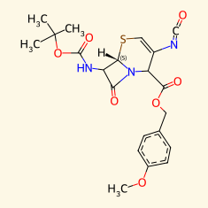 COc1ccc(COC(=O)C2C(N=C=O)=CS[C@H]3C(NC(=O)OC(C)(C)C)C(=O)N23)cc1